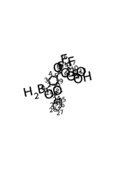 BCc1ccc(C(=O)OC(CS(=O)(=O)O)C(F)(F)F)cc1OC(=O)C1CC2CCC1C2